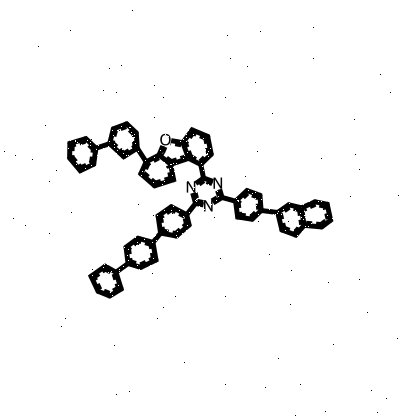 c1ccc(-c2ccc(-c3ccc(-c4nc(-c5ccc(-c6ccc7ccccc7c6)cc5)nc(-c5cccc6oc7c(-c8cccc(-c9ccccc9)c8)cccc7c56)n4)cc3)cc2)cc1